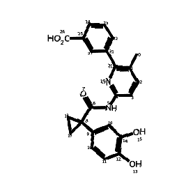 Cc1ccc(NC(=O)C2(c3ccc(O)c(O)c3)CC2)nc1-c1cccc(C(=O)O)c1